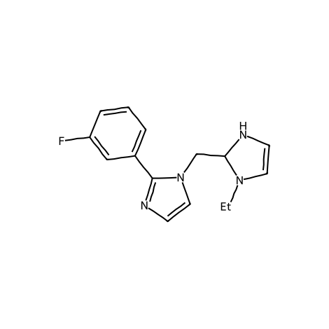 CCN1C=CNC1Cn1ccnc1-c1cccc(F)c1